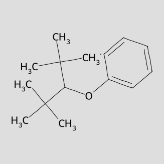 CC(C)(C)C(Oc1[c]cccc1)C(C)(C)C